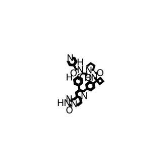 C[C@@H](NC(=O)c1ccncc1)C(=O)N1CCC[C@H]1C(=O)NC1(c2ccc(-c3nc4ccn5c(=O)[nH]nc5c4cc3-c3ccccc3)cc2)CCC1